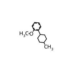 COc1ccccc1C1CCC(C)CC1